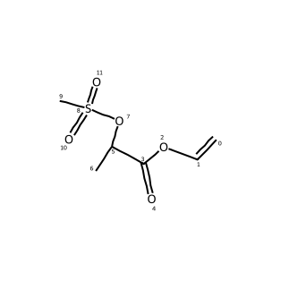 C=COC(=O)C(C)OS(C)(=O)=O